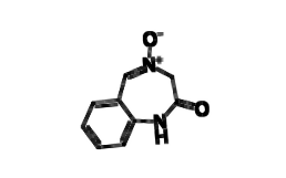 O=C1C[N+]([O-])=Cc2ccccc2N1